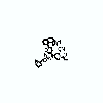 C=CC(=O)N1CCN(c2nc(OCC3CCCN3C)nc3c2CCC(c2cccc4ccc5[nH]ncc5c24)O3)C[C@@H]1CC#N